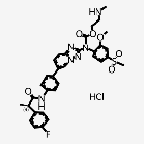 CNCCOC(=O)N(c1nc2ccc(-c3ccc(NC(=O)[C@H](C)c4ccc(F)cc4)cc3)cn2n1)c1ccc(S(C)(=O)=O)cc1OC.Cl